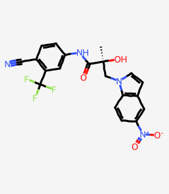 C[C@](O)(Cn1ccc2cc([N+](=O)[O-])ccc21)C(=O)Nc1ccc(C#N)c(C(F)(F)F)c1